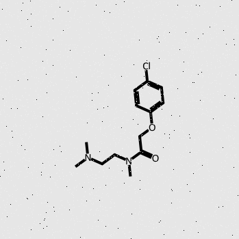 CN(C)CCN(C)C(=O)COc1ccc(Cl)cc1